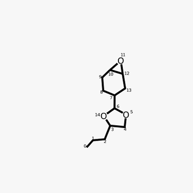 CCCC1COC(C2CCC3OC3C2)O1